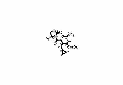 CC(C)[C@H]1COC(=O)N1C(=O)[C@H](CCC(F)(F)F)[C@H](CC1CC1)C(=O)OC(C)(C)C